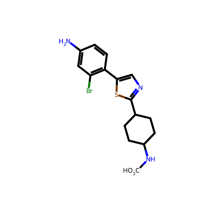 Nc1ccc(-c2cnc(C3CCC(NC(=O)O)CC3)s2)c(Br)c1